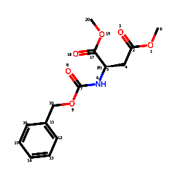 COC(=O)C[C@@H](NC(=O)OCc1ccccc1)C(=O)OC